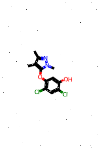 Cc1nn(C)c(Oc2cc(O)c(Cl)cc2Cl)c1C